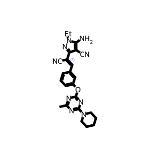 CCn1nc(/C(C#N)=C/c2cccc(Oc3nc(C)nc(N4CCCCC4)n3)c2)c(C#N)c1N